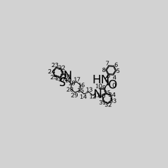 O=C(Nc1ccccc1)c1cn(CCCC2CCC(c3nc4ccccc4s3)CC2)c2ccccc12